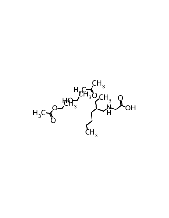 CC(C)=O.CCCCC(CC)CNCC(=O)O.CCO.CCOC(C)=O